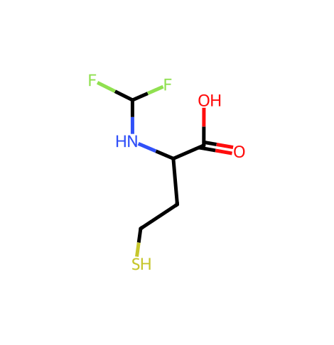 O=C(O)C(CCS)NC(F)F